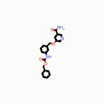 NC(=O)c1cncc(OCc2cccc(NC(=O)OCc3ccccc3)c2)c1